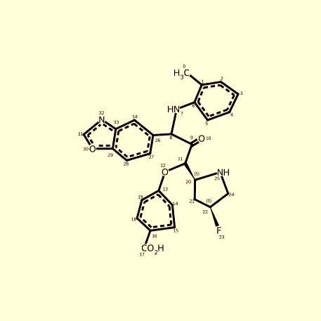 Cc1ccccc1NC(C(=O)C(Oc1ccc(C(=O)O)cc1)[C@@H]1C[C@H](F)CN1)c1ccc2ocnc2c1